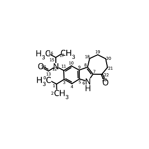 CC(C)c1cc2[nH]c3c(c2cc1N(C=O)C(C)C)CCCCC3=O